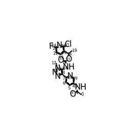 CC(=O)Nc1ccc(-c2nnn(C)c2NC(=O)OC(C)c2ccc(F)nc2Cl)nc1